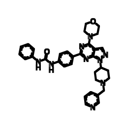 O=C(Nc1ccccc1)Nc1ccc(-c2nc(N3CCOCC3)c3cnn(C4CCN(Cc5cccnc5)CC4)c3n2)cc1